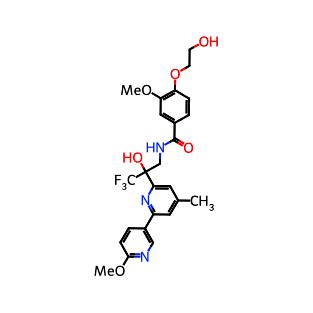 COc1ccc(-c2cc(C)cc(C(O)(CNC(=O)c3ccc(OCCO)c(OC)c3)C(F)(F)F)n2)cn1